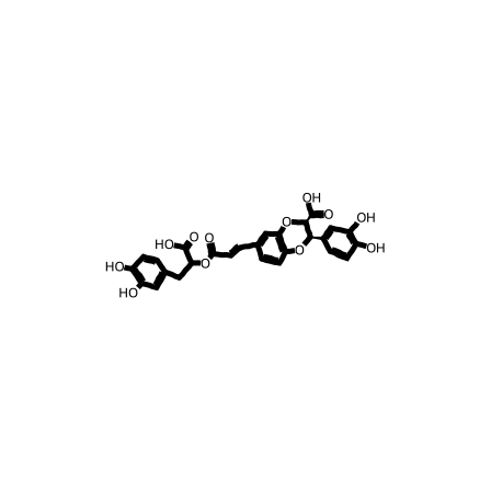 O=C(/C=C/c1ccc2c(c1)O[C@@H](C(=O)O)[C@@H](c1ccc(O)c(O)c1)O2)OC(Cc1ccc(O)c(O)c1)C(=O)O